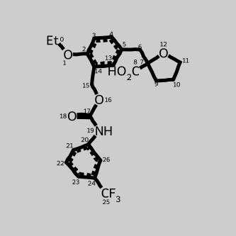 CCOc1ccc(CC2(C(=O)O)CCCO2)cc1COC(=O)Nc1cccc(C(F)(F)F)c1